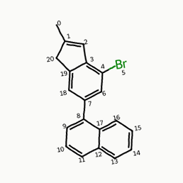 CC1=Cc2c(Br)cc(-c3cccc4ccccc34)cc2C1